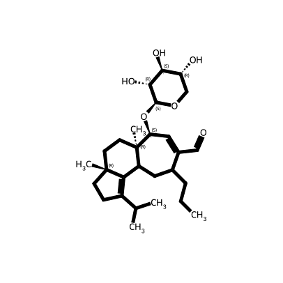 CCCC1CC2C3=C(C(C)C)CC[C@]3(C)CC[C@@]2(C)[C@@H](O[C@@H]2OC[C@@H](O)[C@H](O)[C@H]2O)C=C1C=O